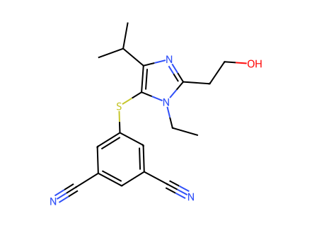 CCn1c(CCO)nc(C(C)C)c1Sc1cc(C#N)cc(C#N)c1